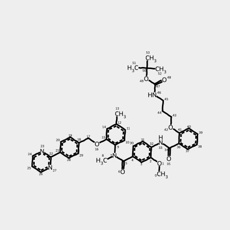 COc1cc(C(=O)N(C)c2ccc(C)cc2OCc2ccc(-c3ncccn3)cc2)ccc1NC(=O)c1ccccc1OCCCNC(=O)OC(C)(C)C